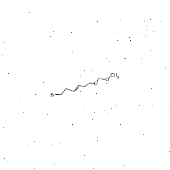 COCOCCC=CCCBr